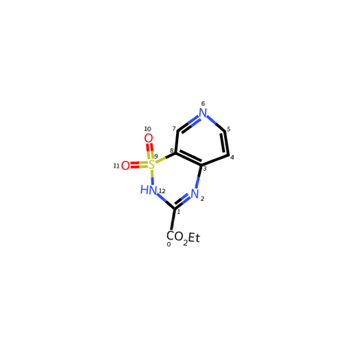 CCOC(=O)C1=Nc2ccncc2S(=O)(=O)N1